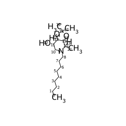 CCCCCCCCCN1C[C@H](O)[C@H]2OC(C)(C)O[C@H]2[C@H]1C